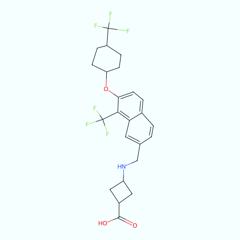 O=C(O)C1CC(NCc2ccc3ccc(OC4CCC(C(F)(F)F)CC4)c(C(F)(F)F)c3c2)C1